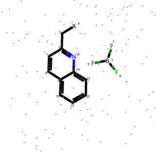 FB(F)F.[K][CH2]c1ccc2ccccc2n1